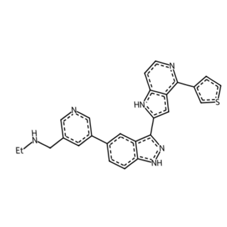 CCNCc1cncc(-c2ccc3[nH]nc(-c4cc5c(-c6ccsc6)nccc5[nH]4)c3c2)c1